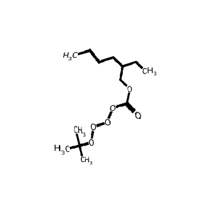 CCCCC(CC)COC(=O)OOOOC(C)(C)C